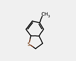 CC1=CC2CCSC2C=C1